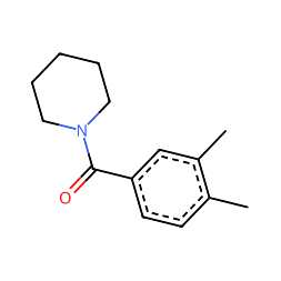 Cc1ccc(C(=O)N2CCCCC2)cc1C